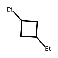 CC[C]1CC(CC)C1